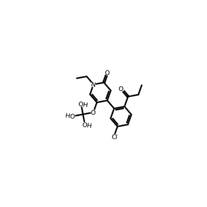 CCC(=O)c1ccc(Cl)cc1-c1cc(=O)n(CC)cc1OC(O)(O)O